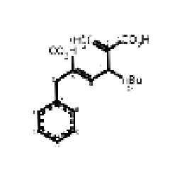 C=C(C(=O)O)C(C=C(Cc1ccccc1)C(=O)O)CCCC